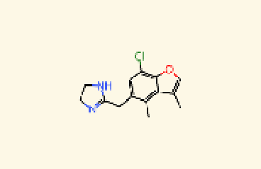 Cc1coc2c(Cl)cc(CC3=NCCN3)c(C)c12